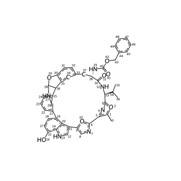 Cc1oc2nc1-c1ncc(o1)-c1c[nH]c3c(O)ccc(c13)-c1cccc3c1NC1Oc4ccc(cc4C31)C[C@H](NC(=O)OCc1ccccc1)C(=O)N[C@H]2C(C)C